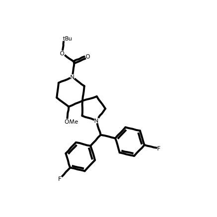 COC1CCN(C(=O)OC(C)(C)C)CC12CCN(C(c1ccc(F)cc1)c1ccc(F)cc1)C2